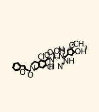 CO[C@@H]1CC(C(NC#N)NC[C@H](NC(=O)c2c(Cl)cc3c(c2Cl)CCN(C(=O)c2cc4ccccc4o2)C3)C(=O)O)C[C@H]1O